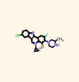 COc1c(N2CCNC(C)C2)c(F)cc2c3nc4ccc(Cl)cc4c-3cn(C3CC3)c12